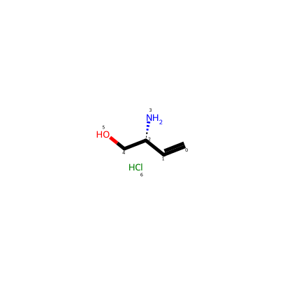 C=C[C@@H](N)CO.Cl